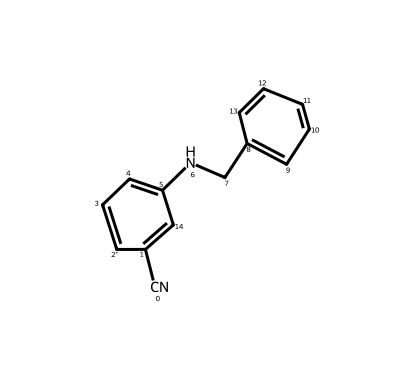 N#Cc1[c]ccc(NCc2ccccc2)c1